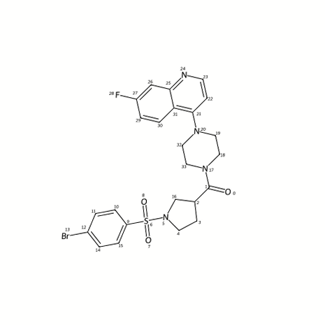 O=C(C1CCN(S(=O)(=O)c2ccc(Br)cc2)C1)N1CCN(c2ccnc3cc(F)ccc23)CC1